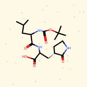 CC(C)CC(NC(=O)OC(C)(C)C)C(=O)NC(C[C@@H]1CCNC1=O)C(=O)O